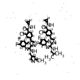 CC(C)CNc1nc2cc(F)c(F)cc2n2c(-c3ccc(C(=O)NC4CC4)c(Cl)c3)cnc12.Cn1cc(CNc2nc3cc(F)c(F)cc3n3c(-c4ccc(C(=O)NC5CC5)c(Cl)c4)cnc23)cn1